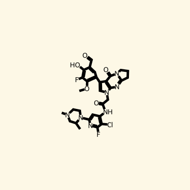 COc1c(-c2cn(CC(=O)Nc3cc(N4CCN(C)CC4C)nc(F)c3Cl)c3nc4n(c(=O)c23)CCC4)cc(C=O)c(O)c1F